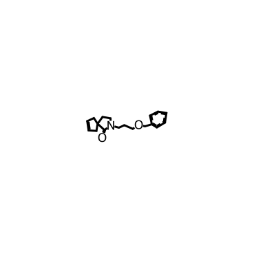 O=C1N(CCCOCc2ccccc2)CCC12CC=CC2